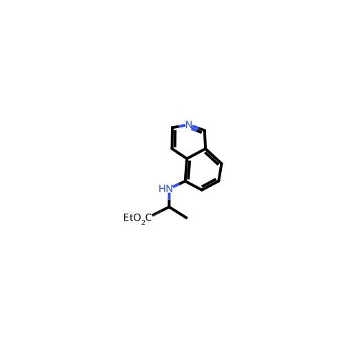 CCOC(=O)C(C)Nc1cccc2cnccc12